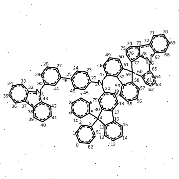 c1ccc(C2(c3ccccc3)c3ccccc3-c3ccc(N(c4ccc(-c5cccc(-n6c7ccccc7c7ccccc76)c5)cc4)c4cccc5c4-c4ccccc4C54c5ccccc5-n5c6ccccc6c6cccc4c65)cc32)cc1